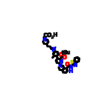 Cc1cc(N(C)CCCC2CCN(CC(=O)O)CC2)ccc1-c1ccc(N2CCc3cccc(C(=O)Nc4nc5ccccc5s4)c3C2)nc1C(=O)OC(C)(C)C